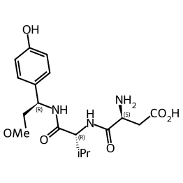 COC[C@H](NC(=O)[C@H](NC(=O)[C@@H](N)CC(=O)O)C(C)C)c1ccc(O)cc1